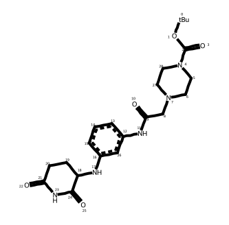 CC(C)(C)OC(=O)N1CCN(CC(=O)Nc2cccc(NC3CCC(=O)NC3=O)c2)CC1